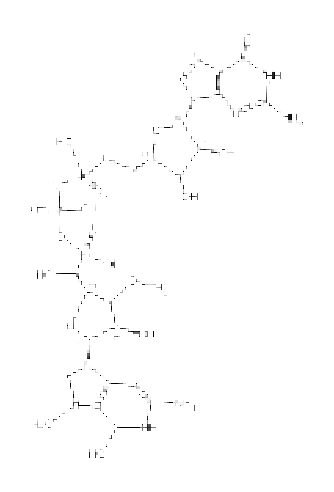 COC1[C@H](C(O)P(=O)(O)OP(=O)(O)OP(=O)(O)OC[C@H]2O[C@@H](n3cnc4c(=O)[nH]c(N)nc43)[C@@H](O)C2O)O[C@H](N2CN(C)C3=C2N=C(N)NC3O)[C@@H]1O